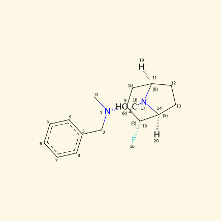 CN(Cc1ccccc1)[C@@H]1C[C@H]2CC[C@@H]([C@@H]1F)N2C(=O)O